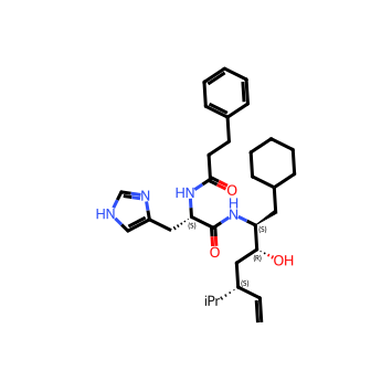 C=C[C@@H](C[C@@H](O)[C@H](CC1CCCCC1)NC(=O)[C@H](Cc1c[nH]cn1)NC(=O)CCc1ccccc1)C(C)C